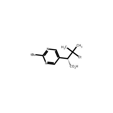 CCC(C)(C)[C@H](C(=O)O)c1cnc(C(C)(C)C)nc1